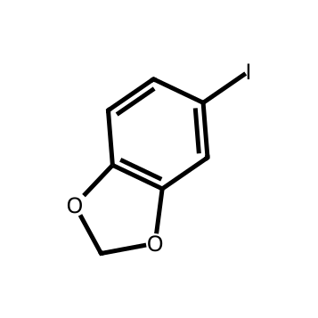 Ic1ccc2c(c1)OCO2